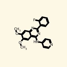 COc1cc2nc(-c3ccccc3F)nc(Nc3ccncc3)c2cc1OC